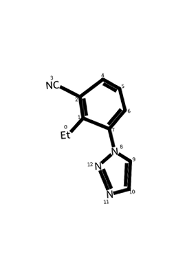 CCc1c(C#N)cccc1-n1ccnn1